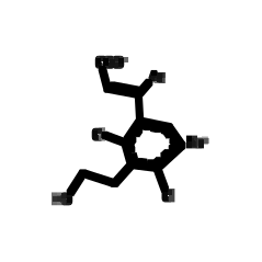 CC(=O)C(=CC(=O)[O-])c1ccc(Cl)c(CCO)c1Cl.[Na+]